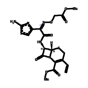 C=CC1=C(C(=O)OC(C)(C)C)N2C(=O)[C@@H](NC(=O)/C(=N\OCC(=O)OC(C)(C)C)c3csc(N)n3)[C@@H]2SC1